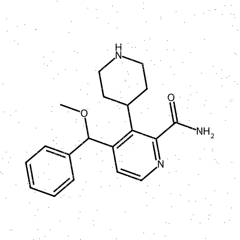 COC(c1ccccc1)c1ccnc(C(N)=O)c1C1CCNCC1